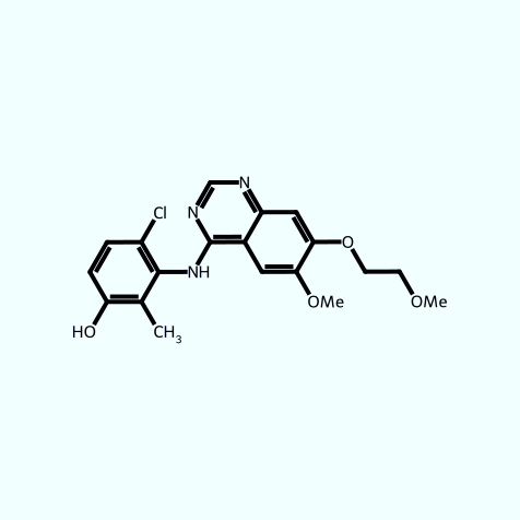 COCCOc1cc2ncnc(Nc3c(Cl)ccc(O)c3C)c2cc1OC